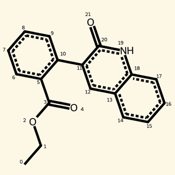 CCOC(=O)c1ccccc1-c1cc2ccccc2[nH]c1=O